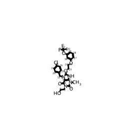 Cn1c2c(c(=O)n(CCO)c1=O)N(Cc1ccc(Cl)cc1)C(OCCOc1cccc(OC(F)(F)I)c1)N2